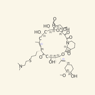 CO[C@@H]1C[C@H](/C=C(\C)[C@H]2OC(=O)[C@@H]3CCCCN3C(=O)C(=O)[C@]3(O)O[C@H]([C@@H](O)C[C@@H](O)C/C(C)=C/[C@@H](CCCSCCN(C)C)C(=O)C[C@H](O)[C@H]2C)[C@@H](C=O)C[C@H]3C)CC[C@H]1O